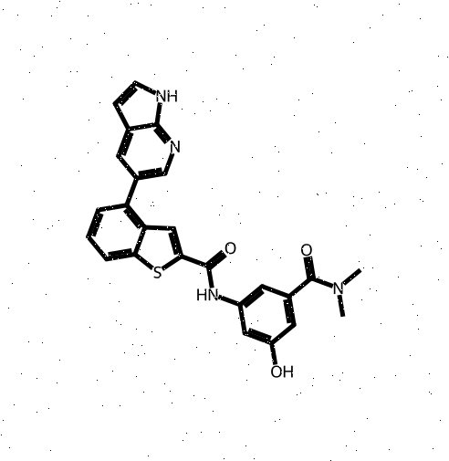 CN(C)C(=O)c1cc(O)cc(NC(=O)c2cc3c(-c4cnc5[nH]ccc5c4)cccc3s2)c1